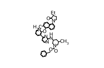 CCC1CCN(c2cccc3c(Oc4ncccc4-c4ccnc(NC5CC(C)CN(C(=O)OCc6ccccc6)C5)n4)c(C)ccc23)C1=O